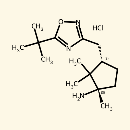 CC(C)(C)c1nc(C[C@@H]2CC[C@](C)(N)C2(C)C)no1.Cl